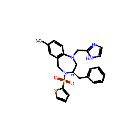 N#Cc1ccc2c(c1)CN(S(=O)(=O)c1cccs1)[C@H](Cc1ccccc1)CN2Cc1ncc[nH]1